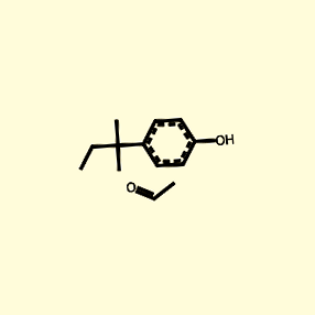 CC=O.CCC(C)(C)c1ccc(O)cc1